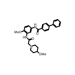 COc1ccc(NC(=O)c2ccc(-c3ccccc3)cc2)cc1NC(=O)CN1CCC(OC)CC1